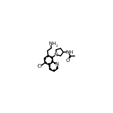 CC(=O)NC1CCN(c2c(CCN)cc(Cl)c3cccnc23)C1